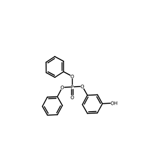 O=P(Oc1ccccc1)(Oc1ccccc1)Oc1cccc(O)c1